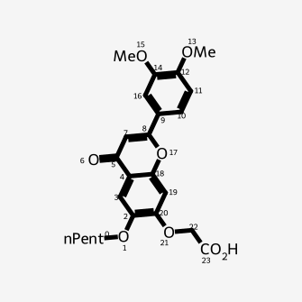 CCCCCOc1cc2c(=O)cc(-c3ccc(OC)c(OC)c3)oc2cc1OCC(=O)O